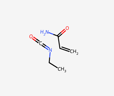 C=CC(N)=O.CCN=C=O